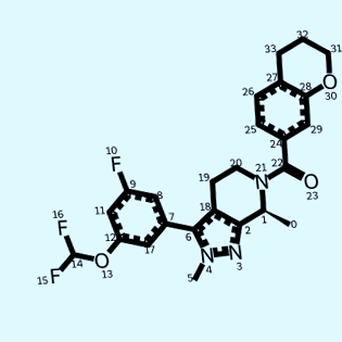 C[C@H]1c2nn(C)c(-c3cc(F)cc(OC(F)F)c3)c2CCN1C(=O)c1ccc2c(c1)OCCC2